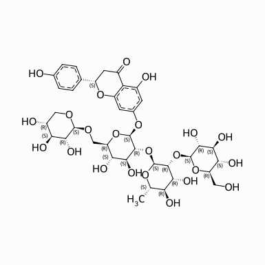 C[C@@H]1O[C@@H](O[C@H]2[C@H](Oc3cc(O)c4c(c3)O[C@H](c3ccc(O)cc3)CC4=O)O[C@H](CO[C@@H]3OC[C@@H](O)[C@H](O)[C@H]3O)[C@@H](O)[C@@H]2O)[C@H](O[C@@H]2O[C@H](CO)[C@@H](O)[C@H](O)[C@H]2O)[C@H](O)[C@H]1O